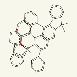 CC1(C)c2ccccc2-c2c(-c3ccccc3N(c3cccc(-c4ccccc4)c3-c3ccccc3-c3ccccc3)c3cccc4c3C(C)(C)c3ccccc3-4)cccc21